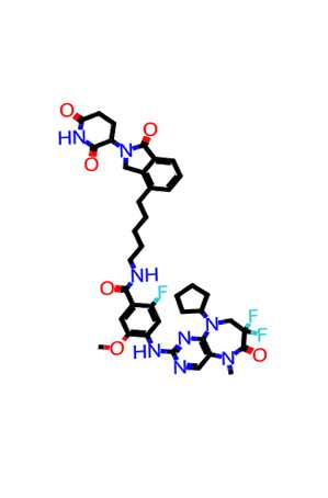 COc1cc(C(=O)NCCCCCc2cccc3c2CN(C2CCC(=O)NC2=O)C3=O)c(F)cc1Nc1ncc2c(n1)N(C1CCCC1)CC(F)(F)C(=O)N2C